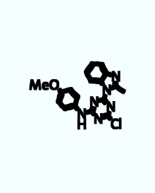 COc1ccc(Nc2nc(Cl)nc(-n3c(C)nc4ccccc43)n2)cc1